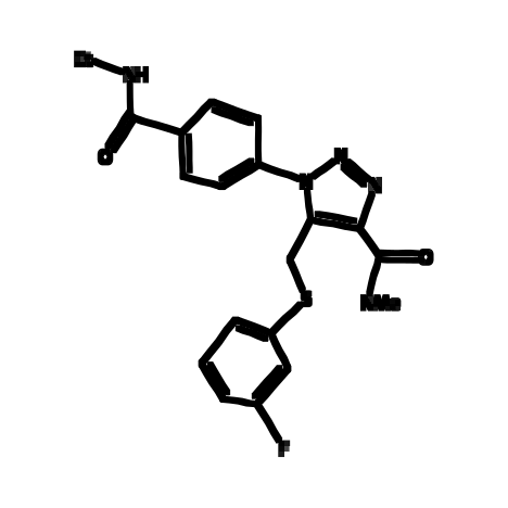 CCNC(=O)c1ccc(-n2nnc(C(=O)NC)c2CSc2cccc(F)c2)cc1